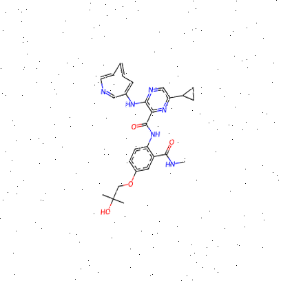 CNC(=O)c1cc(OCC(C)(C)O)ccc1NC(=O)c1nc(C2CC2)cnc1NC1=C/C=C/C=C/N=C\1